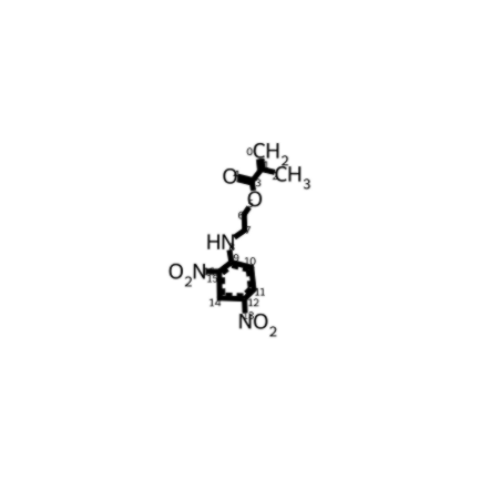 C=C(C)C(=O)OCCNc1ccc([N+](=O)[O-])cc1[N+](=O)[O-]